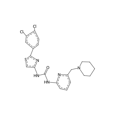 O=C(Nc1cccc(CN2CCCCC2)n1)Nc1csc(-c2ccc(Cl)c(Cl)c2)n1